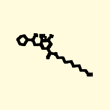 CCN(Cc1cc(C(=O)OCCCCCCCCO)cc(Br)c1N)C1CCCCC1